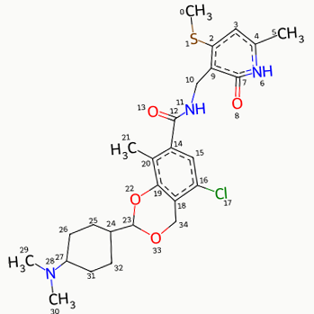 CSc1cc(C)[nH]c(=O)c1CNC(=O)c1cc(Cl)c2c(c1C)OC(C1CCC(N(C)C)CC1)OC2